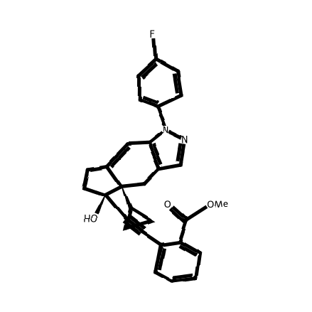 COC(=O)c1ccccc1C#C[C@]1(O)CCC2=Cc3c(cnn3-c3ccc(F)cc3)C[C@@]21C1CC1